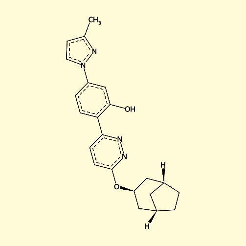 Cc1ccn(-c2ccc(-c3ccc(O[C@H]4C[C@@H]5CC[C@@H](C5)C4)nn3)c(O)c2)n1